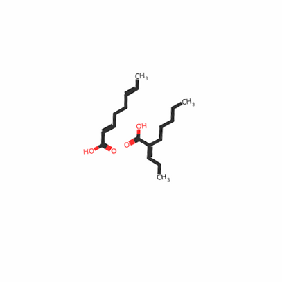 C/C=C/CC/C=C/C(=O)O.CC/C=C(\CCCCC)C(=O)O